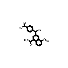 CCCC(c1ccc(C(O)CC)cc1)c1cc(C(C)O)c2cccc(OCC)c2c1